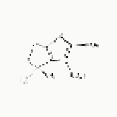 CNc1sc2c(c1C(=O)O)C(C)(C)CC2